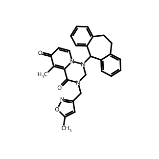 Cc1cc(CN2CN(C3c4ccccc4CCc4ccccc43)n3ccc(=O)c(C)c3C2=O)no1